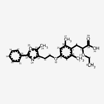 CCOC(Cc1c(C)cc(OCCc2nc(-c3ccccc3)oc2C)cc1C)C(=O)O